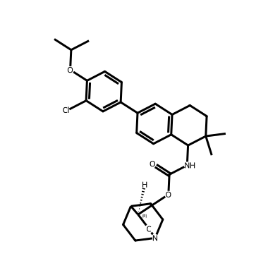 CC(C)Oc1ccc(-c2ccc3c(c2)CCC(C)(C)C3NC(=O)O[C@H]2CN3CCC2CC3)cc1Cl